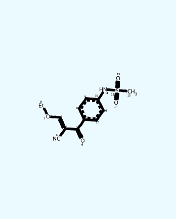 CCOC=C(C#N)C(=O)c1ccc(NS(C)(=O)=O)cc1